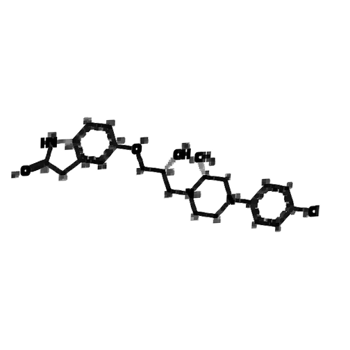 C[C@@H]1CN(c2ccc(Cl)cc2)CCN1C[C@@H](O)COc1ccc2c(c1)CC(=O)N2